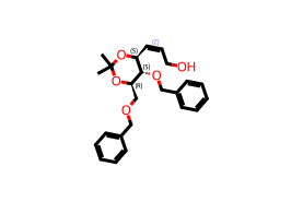 CC1(C)O[C@@H](/C=C\CO)[C@H](OCc2ccccc2)[C@@H](COCc2ccccc2)O1